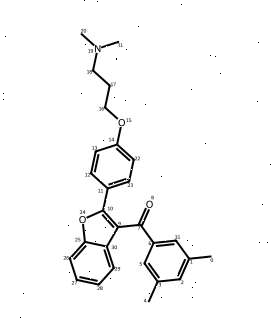 Cc1cc(C)cc(C(=O)c2c(-c3ccc(OCCCN(C)C)cc3)oc3ccccc23)c1